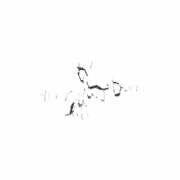 Cc1nc(Nc2nc(N3CCC(O)CC3)cc(N3CCC(C)(O)CC3)n2)sc1C(=O)O